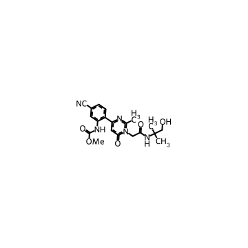 COC(=O)Nc1cc(C#N)ccc1-c1cc(=O)n(CC(=O)NC(C)(C)CO)c(C)n1